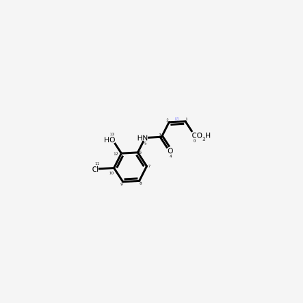 O=C(O)/C=C\C(=O)Nc1cccc(Cl)c1O